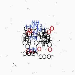 C#C[C@]1(O)CC[C@H]2[C@@H]3CCc4cc(O)ccc4[C@H]3CC[C@@]21C.CN1c2c(nc(N)[nH]c2=O)NC[C@@H]1CNc1ccc(C(=O)N[C@@H](CCC(=O)[O-])C(=O)[O-])cc1.C[C@]12CCC(=O)C=C1[C@@H]1C[C@@H]1[C@H]1[C@@H]3[C@@H]4C[C@@H]4[C@@]4(CCC(=O)O4)[C@@]3(C)CC[C@@H]12.[Ca+2]